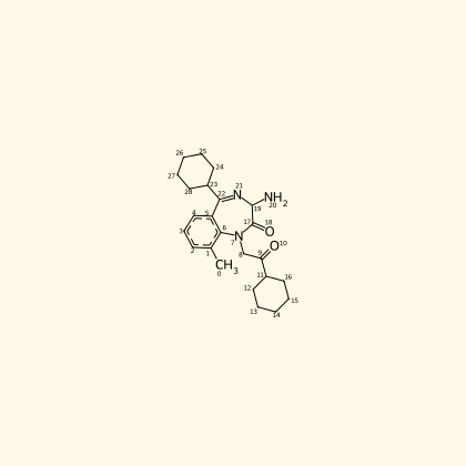 Cc1cccc2c1N(CC(=O)C1CCCCC1)C(=O)C(N)N=C2C1CCCCC1